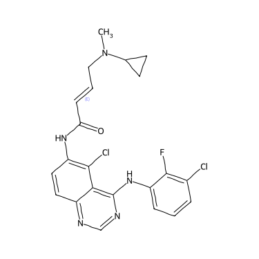 CN(C/C=C/C(=O)Nc1ccc2ncnc(Nc3cccc(Cl)c3F)c2c1Cl)C1CC1